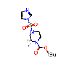 C[C@@H]1CN(S(=O)(=O)n2ccnc2)CCN1C(=O)OC(C)(C)C